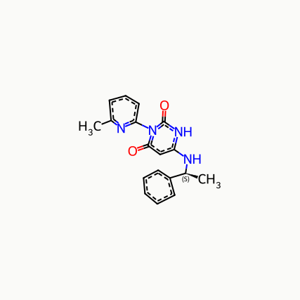 Cc1cccc(-n2c(=O)cc(N[C@@H](C)c3ccccc3)[nH]c2=O)n1